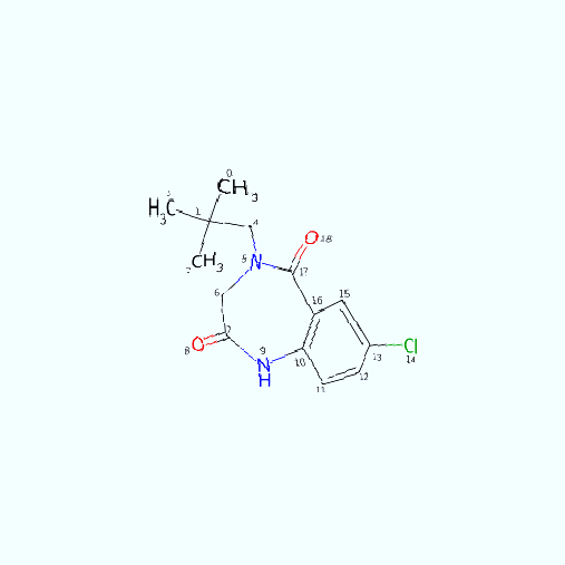 CC(C)(C)CN1CC(=O)Nc2ccc(Cl)cc2C1=O